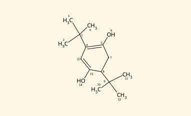 CC(C)(C)C1=C(O)CC(C(C)(C)C)C(O)=C1